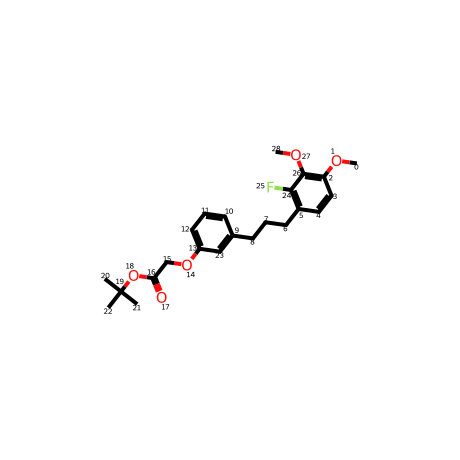 COc1ccc(CCCc2cccc(OCC(=O)OC(C)(C)C)c2)c(F)c1OC